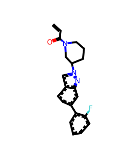 C=CC(=O)N1CCCC(n2cc3ccc(-c4ccccc4F)cc3n2)C1